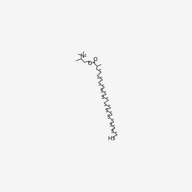 [CH2]C(CCOC(=O)C(C)CSSSSSSSSSSSSSSSSSSSS)[N+](C)(C)C